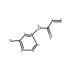 C=CC(=O)Oc1[c]ccc(C)c1